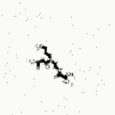 C=C(C)C(=O)OCCN(CCCC)C(=O)CC(C)=O